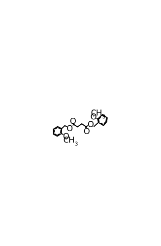 COc1ccccc1COC(=O)CCC(=O)OCc1ccccc1OC